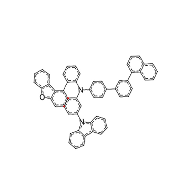 c1cc(-c2ccc(N(c3cccc(-n4c5ccccc5c5ccccc54)c3)c3ccccc3-c3cccc4oc5ccccc5c34)cc2)cc(-c2cccc3ccccc23)c1